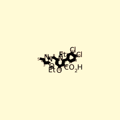 CCOc1cc(C)nn1Cc1cc(=O)c(C(=O)O)c(-c2ccc(Cl)c(Cl)c2)n1CC